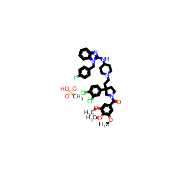 COc1cc(C(=O)N2CCC(CCN3CCC(Nc4nc5ccccc5n4Cc4ccc(F)cc4)CC3)(c3ccc(Cl)c(Cl)c3)C2)cc(OC)c1OC.CS(=O)(=O)O